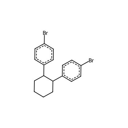 Brc1ccc(C2CCCCC2c2ccc(Br)cc2)cc1